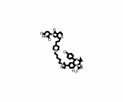 Cc1nnc2n1-c1ccc(-c3cnn(CCCCCN4CCC(CCc5nccc6c5CN(C5CCC(=O)NC5=O)C6=O)CC4)c3)cc1C(c1ccc(Cl)cc1)=NC21CC1